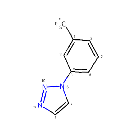 FC(F)(F)c1cccc(-n2ccnn2)c1